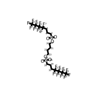 O=S(=O)(CCCC(F)(F)C(F)(F)C(F)(F)C(F)(F)F)OCCCCOS(=O)(=O)CCCC(F)(F)C(F)(F)C(F)(F)C(F)(F)F